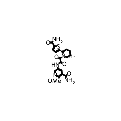 COc1ncc(NC(=O)C(=O)N2C[C@@H](C)CC[C@@H]2c2ccc(C(N)=O)s2)cc1C(N)=O